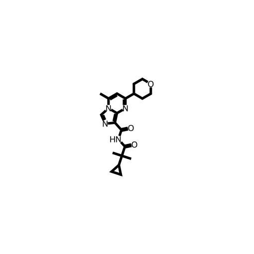 Cc1cc(C2CCOCC2)nc2c(C(=O)NC(=O)C(C)(C)C3CC3)ncn12